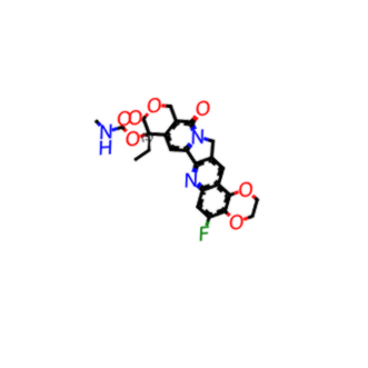 CC[C@@]1(OC(=O)NC)C(=O)OCc2c1cc1n(c2=O)Cc2cc3c4c(c(F)cc3nc2-1)OCCO4